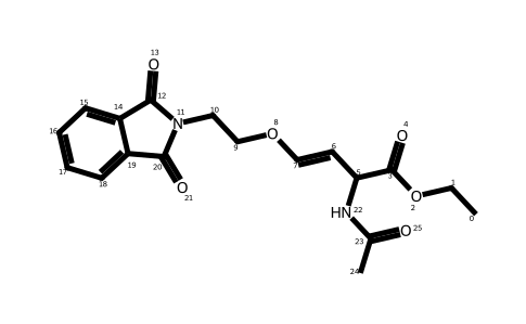 CCOC(=O)C(C=COCCN1C(=O)c2ccccc2C1=O)NC(C)=O